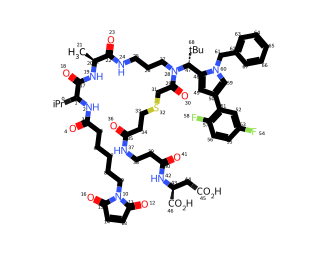 CC(C)C(NC(=O)CCCCCN1C(=O)C=CC1=O)C(=O)N[C@@H](C)C(=O)NCCCN(C(=O)CSCCC(=O)NCCC(=O)N[C@@H](CC(=O)O)C(=O)O)[C@@H](c1cc(-c2cc(F)ccc2F)cn1Cc1ccccc1)C(C)(C)C